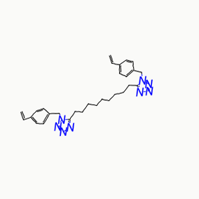 C=Cc1ccc(Cn2nnnc2CCCCCCCCCc2nnnn2Cc2ccc(C=C)cc2)cc1